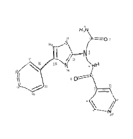 NC(=O)N(NC(=O)c1ccncc1)c1nc(-c2ccccc2)cs1